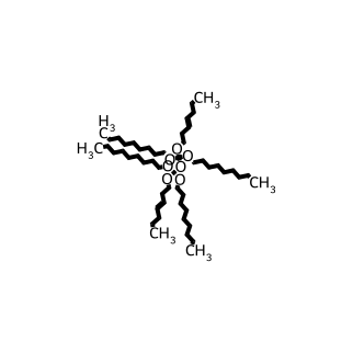 CCCC=CCCOC(OCCCCCCCCC)(OCCCCCCCCC)OC(OCCC=CCCC)(OCCCCCCCCC)OCCCCCCCCC